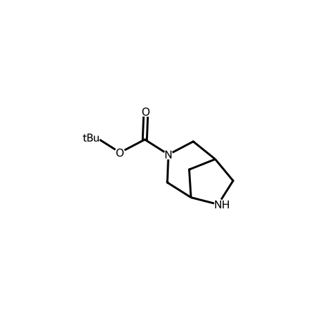 CC(C)(C)OC(=O)N1CC2CNC(C2)C1